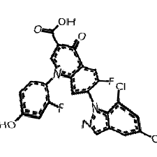 O=C(O)c1cn(-c2ccc(O)cc2F)c2cc(-n3ncc4cc(Cl)cc(Cl)c43)c(F)cc2c1=O